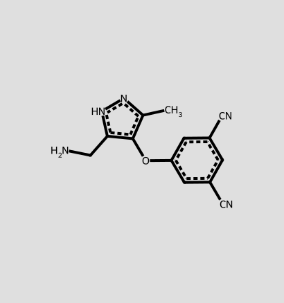 Cc1n[nH]c(CN)c1Oc1cc(C#N)cc(C#N)c1